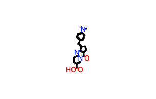 CN(C)c1ccc(C=C2CCc3c2nc2ccc(C(=O)O)cn2c3=O)cc1